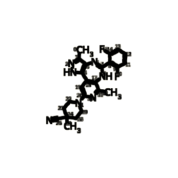 Cc1n[nH]c2c1N=C(c1c(F)cccc1F)Nc1c-2cc(N2CCC(C)(C#N)CC2)nc1C